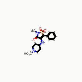 CC(C)(C)N1C(=O)C(NC2CCN(C(=O)O)CC2)=C(c2ccccc2)S1(=O)=O